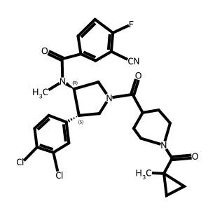 CN(C(=O)c1ccc(F)c(C#N)c1)[C@H]1CN(C(=O)C2CCN(C(=O)C3(C)CC3)CC2)C[C@@H]1c1ccc(Cl)c(Cl)c1